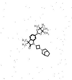 CC1(C)C(=O)N([C@H]2C[C@@H](N3CC4CCC(C4)C3)C2)c2cc(B3OC(C)(C)C(C)(C)O3)ccc21